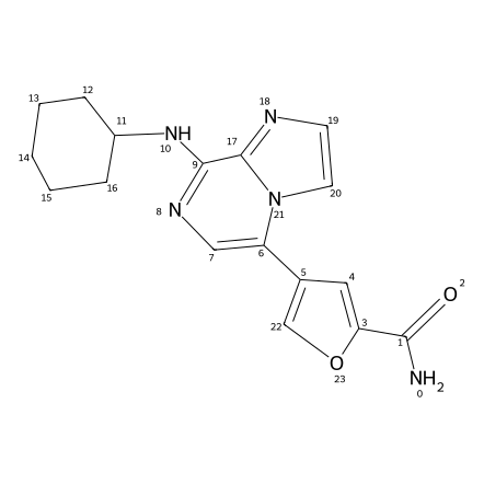 NC(=O)c1cc(-c2cnc(NC3CCCCC3)c3nccn23)co1